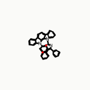 c1ccc(-c2nc(-n3c4ccccc4c4ccc5c6ccccc6n(-c6ccccc6)c5c43)sc2-c2ccccc2)cc1